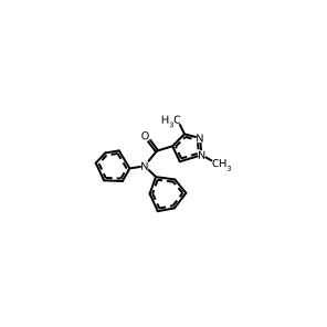 Cc1nn(C)cc1C(=O)N(c1ccccc1)c1ccccc1